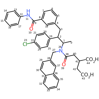 CC(C(Cc1cccc(C(=O)Nc2ccccc2)c1)c1ccc(Cl)cc1)N(Cc1ccc2ccccc2c1)C(=O)CC(CC(=O)O)C(=O)O